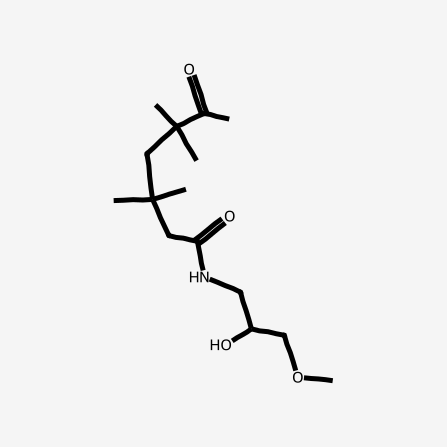 COCC(O)CNC(=O)CC(C)(C)CC(C)(C)C(C)=O